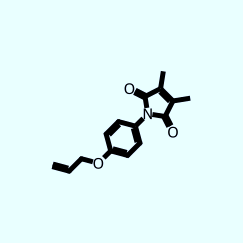 C=CCOc1ccc(N2C(=O)C(C)=C(C)C2=O)cc1